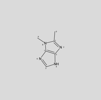 Cc1nc2[nH]cnc2n1C